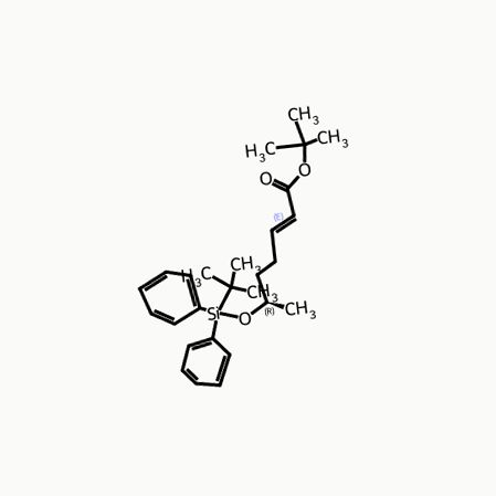 C[C@H](CC/C=C/C(=O)OC(C)(C)C)O[Si](c1ccccc1)(c1ccccc1)C(C)(C)C